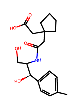 Cc1ccc([C@@H](O)C(CO)NC(=O)CC2(CC(=O)O)CCCC2)cc1